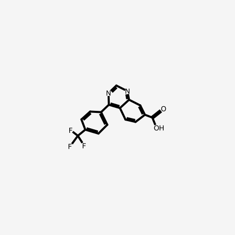 O=C(O)c1ccc2c(-c3ccc(C(F)(F)F)cc3)ncnc2c1